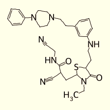 CCN1C(=O)C(CCNc2cccc(CCN3CCN(c4ccccc4)CC3)c2)SC1CC(C#N)C(=O)NCC#N